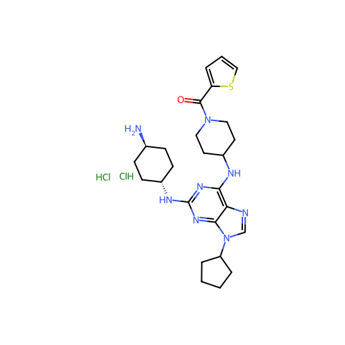 Cl.Cl.N[C@H]1CC[C@H](Nc2nc(NC3CCN(C(=O)c4cccs4)CC3)c3ncn(C4CCCC4)c3n2)CC1